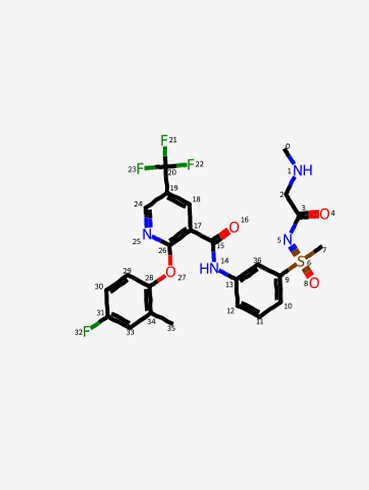 CNCC(=O)N=S(C)(=O)c1cccc(NC(=O)c2cc(C(F)(F)F)cnc2Oc2ccc(F)cc2C)c1